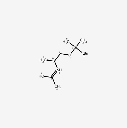 CC(O)=[SH][C@@H](C)CO[Si](C)(C)C(C)(C)C